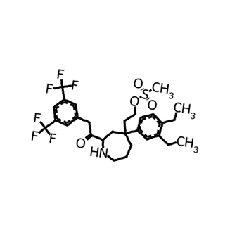 CCc1ccc(C2(CCOS(C)(=O)=O)CCCNC(C(=O)Cc3cc(C(F)(F)F)cc(C(F)(F)F)c3)C2)cc1CC